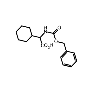 O=C(NC(C(=O)O)C1CCCCC1)OCc1ccccc1